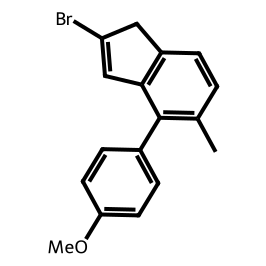 COc1ccc(-c2c(C)ccc3c2C=C(Br)C3)cc1